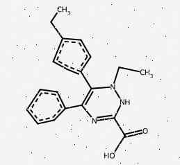 CCc1ccc(C2=C(c3ccccc3)N=C(C(=O)O)NN2CC)cc1